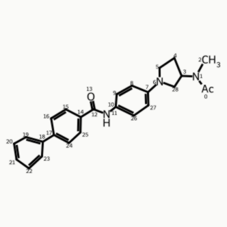 CC(=O)N(C)C1CCN(c2ccc(NC(=O)c3ccc(-c4ccccc4)cc3)cc2)C1